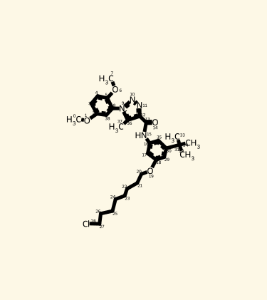 COc1ccc(OC)c(-n2nnc(C(=O)Nc3cc(OCCCCCCCCCl)cc(C(C)(C)C)c3)c2C)c1